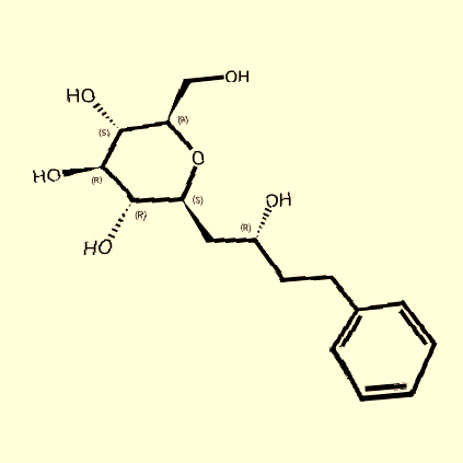 OC[C@H]1O[C@@H](C[C@H](O)CCc2ccccc2)[C@H](O)[C@@H](O)[C@@H]1O